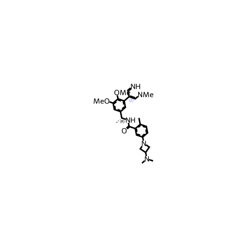 CN/C=C(\C=N)c1cc([C@@H](C)NC(=O)c2cc(N3CC(N(C)C)C3)ccc2C)cc(OC)c1OC